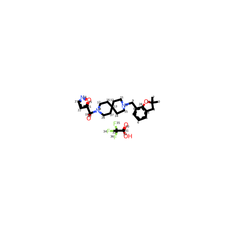 CC1(C)Cc2cccc(CN3CCC4(CC3)CCN(C(=O)c3ccno3)CC4)c2O1.O=C(O)C(F)(F)F